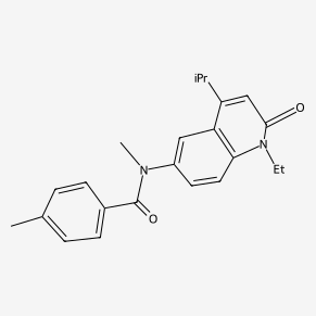 CCn1c(=O)cc(C(C)C)c2cc(N(C)C(=O)c3ccc(C)cc3)ccc21